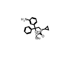 CC(C)(C)OC(=O)N(CC(O)(c1ccccc1)c1cccc(N)c1)C1CC1